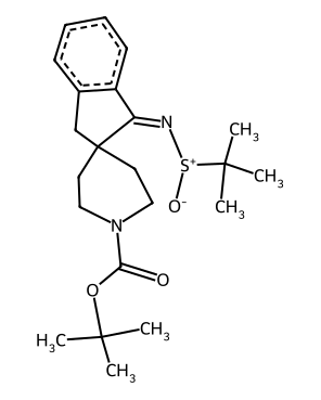 CC(C)(C)OC(=O)N1CCC2(CC1)Cc1ccccc1/C2=N/[S+]([O-])C(C)(C)C